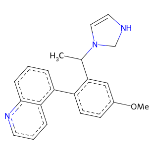 COc1ccc(-c2cccc3ncccc23)c(C(C)N2C=CNC2)c1